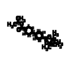 CC(C)OC(=O)N1CCC(c2ccc(B3OC(C)(C)C(C)(C)O3)cc2)CC1